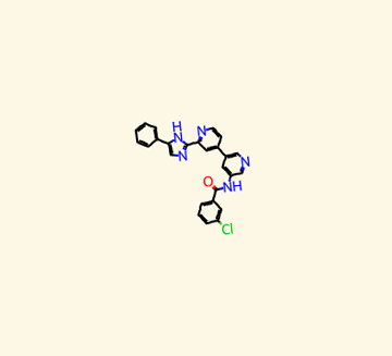 O=C(Nc1cncc(-c2ccnc(-c3ncc(-c4ccccc4)[nH]3)c2)c1)c1cccc(Cl)c1